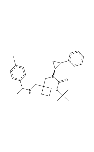 CC(NCC1(CN(C(=O)OC(C)(C)C)[C@H]2CC2c2ccccc2)CCC1)c1ccc(F)cc1